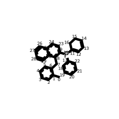 Cc1ccccc1Cc1c(P(C2=CC=CCC2)c2ccccc2)ccc2c#cc#cc12